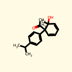 CC(=O)C1(c2ccc(C(C)C)cc2)C=CC=CC1(C)O